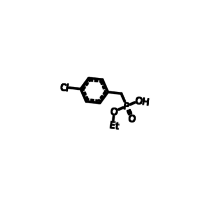 CCOP(=O)(O)Cc1ccc(Cl)cc1